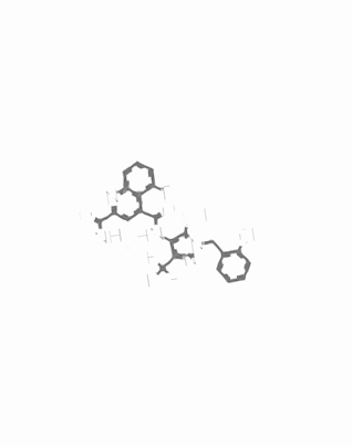 Cc1ccccc1Cn1nc(C(F)(F)F)c(NC(=O)c2cc(C(N)=O)nc3cccc(F)c23)c1C